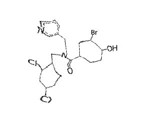 O=C(C1CCC(O)C(Br)C1)N(Cc1cccnc1)CC1CCC(Cl)CC1Cl